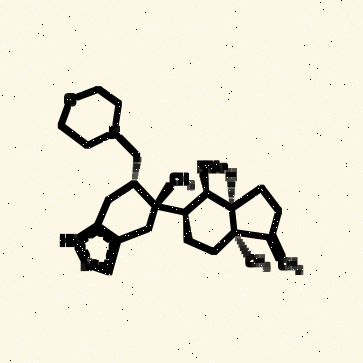 C=C1CC[C@@H]2[C@H](NC)[C@H]([C@]3(C)Cc4cn[nH]c4C[C@@H]3CN3CCOCC3)CC[C@]12C